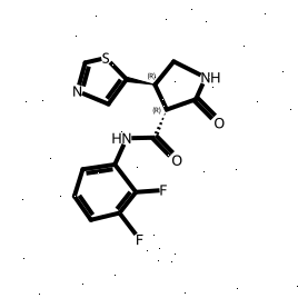 O=C1NC[C@H](c2cncs2)[C@H]1C(=O)Nc1cccc(F)c1F